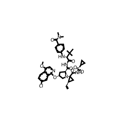 C=C[C@@H]1C[C@@]1(C(=O)NS(=O)(=O)C1CC1)N1C[C@H](Oc2ncc(OC)c3ccc(Cl)cc23)C[C@H]1C(=O)NC(=O)[C@H](Nc1ccc(C(=O)N(C)C)cc1)C(C)(C)C